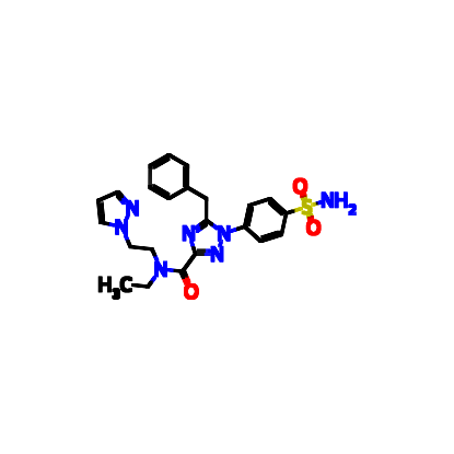 CCN(CCn1cccn1)C(=O)c1nc(Cc2ccccc2)n(-c2ccc(S(N)(=O)=O)cc2)n1